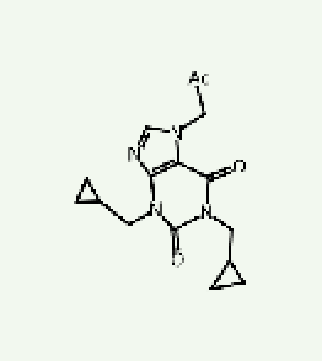 CC(=O)Cn1cnc2c1c(=O)n(CC1CC1)c(=O)n2CC1CC1